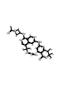 CC(=O)N1CC(Oc2ncc(C(C)(C)N=[N+]=[N-])c3cc(Nc4ccc5c(n4)C(C)C(C)(C)OC5=O)ncc23)C1